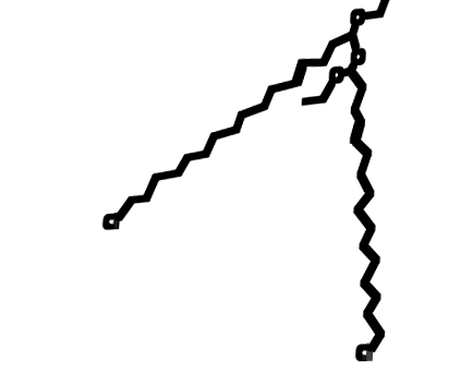 CCOC(CCC=CCCCCCCCCCCCCl)OC(CCC=CCCCCCCCCCCCCl)OCC